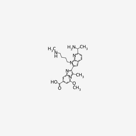 CNCCCCn1c(-c2nc3cc(C(=O)O)cc(OC)n3c2C)cc2ccc(C(C)N)nc21